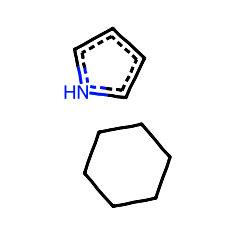 C1CCCCC1.c1cc[nH]c1